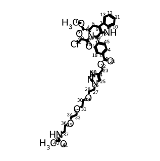 COC(=O)[C@H]1Cc2c([nH]c3ccccc23)[C@@H](c2ccc(C(=O)OCc3cn(CCOCCOCCOCCNC(C)=O)nn3)cc2)N1C(=O)CCl